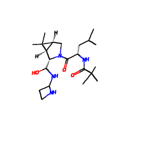 CC(C)C[C@H](NC(=O)C(C)(C)C)C(=O)N1C[C@H]2[C@@H]([C@H]1C(O)NC1CCN1)C2(C)C